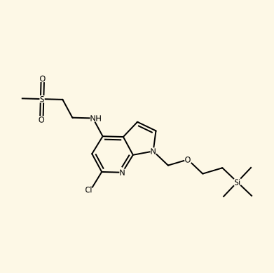 C[Si](C)(C)CCOCn1ccc2c(NCCS(C)(=O)=O)cc(Cl)nc21